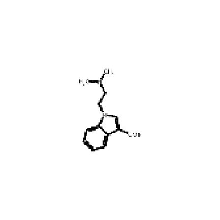 COc1cn(CCN(C)C)c2ccccc12